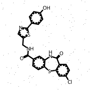 O=C(NCc1cnc(-c2ccc(O)cc2)s1)c1ccc2c(c1)NC(=O)c1ccc(Cl)cc1S2